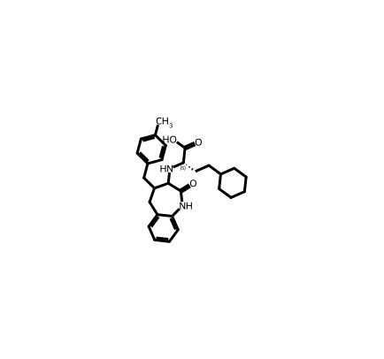 Cc1ccc(CC2Cc3ccccc3NC(=O)C2N[C@@H](CCC2CCCCC2)C(=O)O)cc1